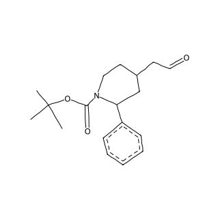 CC(C)(C)OC(=O)N1CCC(CC=O)CC1c1ccccc1